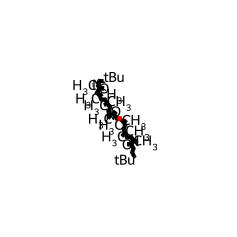 CN(CCC(C)(C)CCC(C)(C)CCC(=O)N(C)CCC(C)(C)CCC(C)(C)CC(=O)N(C)CCC(C)(C)C)C(=O)CCCC(C)(C)C